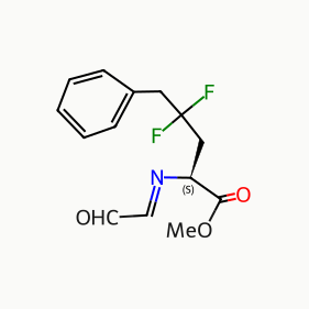 COC(=O)[C@H](CC(F)(F)Cc1ccccc1)N=CC=O